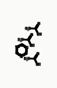 CC(=O)O.CC(=O)O.CC(=O)O.c1ncncn1